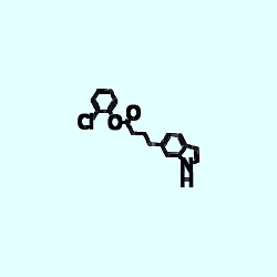 O=C(CCCc1ccc2cc[nH]c2c1)Oc1ccccc1Cl